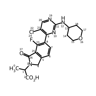 CC(C(=O)O)N1Cc2ccc(-c3nc(NC4CCOCC4)ncc3Cl)c(F)c2C1=O